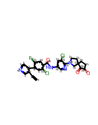 C#Cc1cnccc1-c1cc(Cl)c(C(=O)Nc2cnc(N3CCC4(CCC(=O)C4=O)C3)c(Cl)c2)cc1F